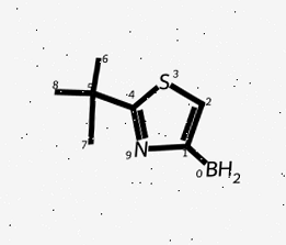 Bc1csc(C(C)(C)C)n1